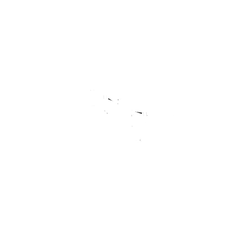 O=C(c1cccc(-c2ccco2)c1)N1CCC(O)(c2ccccc2)[C@H]2CCCC[C@H]21